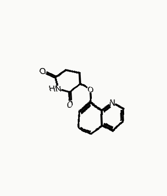 O=C1CCC(Oc2cccc3cccnc23)C(=O)N1